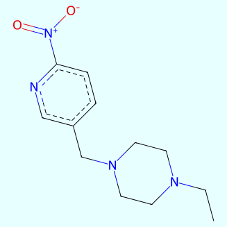 CCN1CCN(Cc2ccc([N+](=O)[O-])nc2)CC1